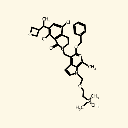 Cc1nc(OCc2ccccc2)c(CN2CCc3c(Cl)cc(C(C)C4COC4)c(Cl)c3C2=O)c2ccn(COCC[Si](C)(C)C)c12